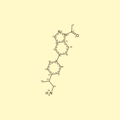 CC(=O)n1ncc2cc(-c3ccc(C(C)CN)cc3)ccc21